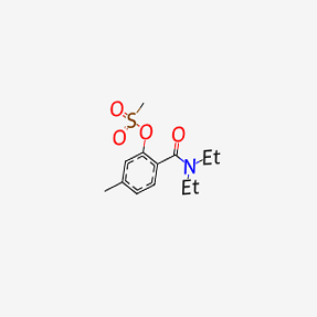 CCN(CC)C(=O)c1ccc(C)cc1OS(C)(=O)=O